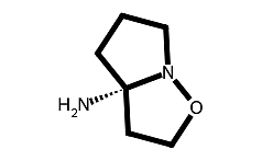 N[C@]12CCCN1OCC2